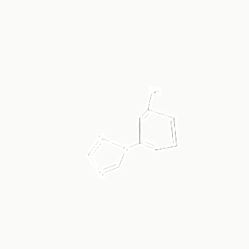 Sc1cccc(-n2cncn2)c1